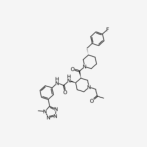 CC(=O)CN1CC[C@@H](NC(=O)Nc2cccc(-c3nnnn3C)c2)[C@@H](C(=O)N2CCC[C@@H](Cc3ccc(F)cc3)C2)C1